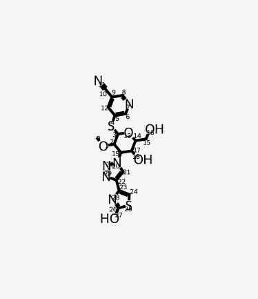 COC1C(Sc2cncc(C#N)c2)OC(CO)C(O)C1n1cc(-c2csc(O)n2)nn1